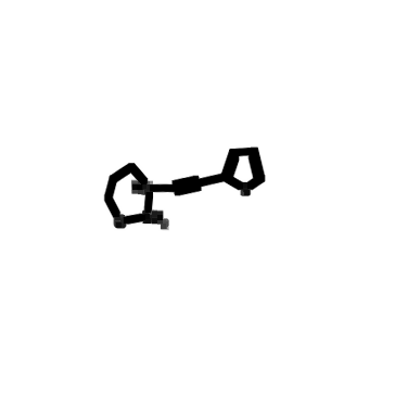 C(#C[SiH]1CCCO[SiH2]1)c1cccs1